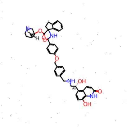 O=C(NC1(C(=O)O[C@H]2CN3CCC2CC3)CCc2ccccc21)c1ccc(OCc2ccc(CNC[C@H](O)c3ccc(O)c4[nH]c(=O)ccc34)cc2)cc1